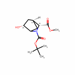 COC(=O)[C@H]1[C@H]2CC([C@H](O)C2)N1C(=O)OC(C)(C)C